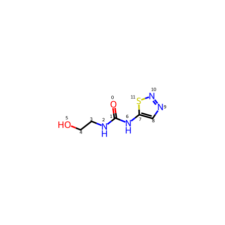 O=C(NCCO)Nc1cnns1